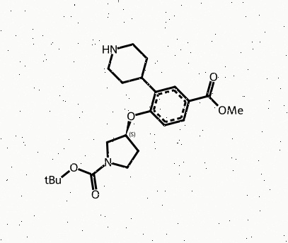 COC(=O)c1ccc(O[C@H]2CCN(C(=O)OC(C)(C)C)C2)c(C2CCNCC2)c1